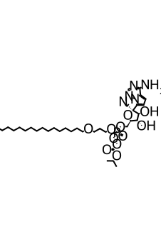 CCCCCCCCCCCCCCCCOCCCOP(=O)(OC[C@H]1O[C@@](C#N)(c2ccc3c(N)ncnn23)[C@H](O)[C@@H]1O)OOC(=O)OC(C)C